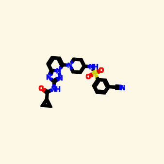 N#Cc1cccc(S(=O)(=O)NC2CCN(c3cccc4nc(NC(=O)C5CC5)nn34)CC2)c1